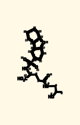 CC(O)CNC(=O)CCC(NS(=O)(=O)c1ccc2oc3ccccc3c2c1)C(=O)O